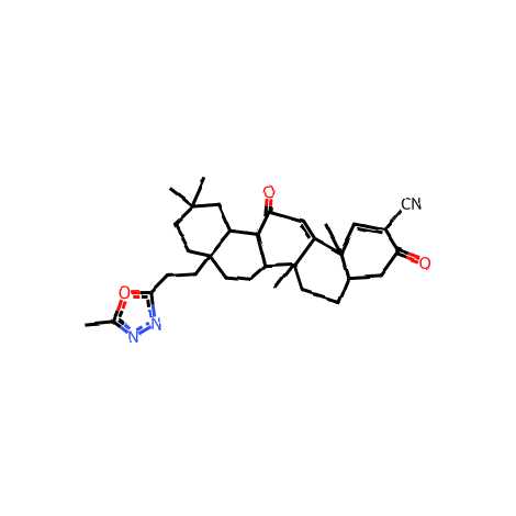 Cc1nnc(CCC23CCC4C(C(=O)C=C5C6(C)C=C(C#N)C(=O)CC6CCC54C)C2CC(C)(C)CC3)o1